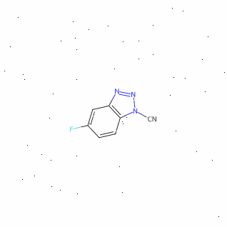 N#Cn1nnc2cc(F)ccc21